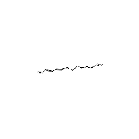 CCCC=CC=CCCCCCCOC(C)=O